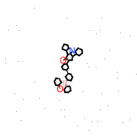 c1cc(B2c3ccccc3Oc3ccccc32)cc(-c2ccc3oc4c(cc5c6ccccc6n6c7ccccc7c4c56)c3c2)c1